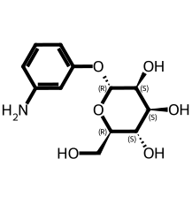 Nc1cccc(O[C@H]2O[C@H](CO)[C@@H](O)[C@H](O)[C@@H]2O)c1